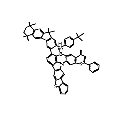 C=C1C=C(c2ccccc2)Sc2cc3c(cc21)Bc1c(-c2cc4c(cc2Nc2ccc(C(C)(C)C)cc2)C(C)(C)c2cc5c(cc2-4)C(C)(C)CCC5(C)C)ccc2c4cc5sc6ccccc6c5cc4n-3c12